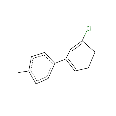 Cc1ccc(C2=CCCC(Cl)=C2)cc1